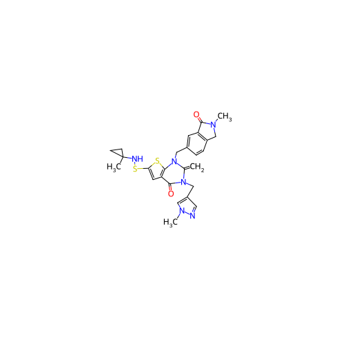 C=C1N(Cc2cnn(C)c2)C(=O)c2cc(SNC3(C)CC3)sc2N1Cc1ccc2c(c1)C(=O)N(C)C2